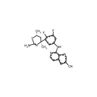 C[C@@H]1C[C@@](C)(c2cc(Nc3nccc4cc(C#N)cnc34)cc(F)c2F)N=C(N)S1